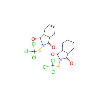 O=C1C2C=CCCC2C(=O)N1SC(Cl)(Cl)Cl.O=C1C2CC=CCC2C(=O)N1SC(Cl)(Cl)Cl